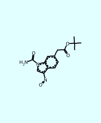 CC(C)(C)OC(=O)Cc1ccc2c(N=O)cn(C(N)=O)c2c1